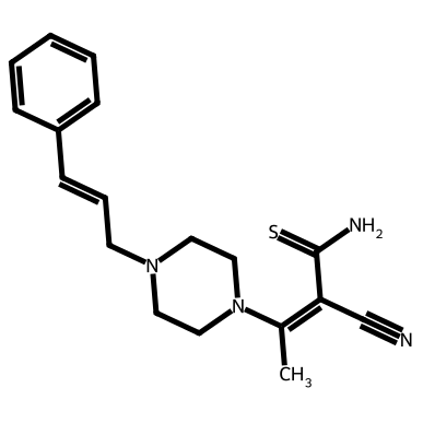 CC(=C(C#N)C(N)=S)N1CCN(CC=Cc2ccccc2)CC1